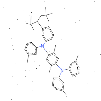 Cc1cccc(N(c2cccc(C)c2)c2cc(C)c(N(c3cccc(C)c3)c3cccc(C(CC(C)(C)C)C(C)(C)C)c3)cc2C)c1